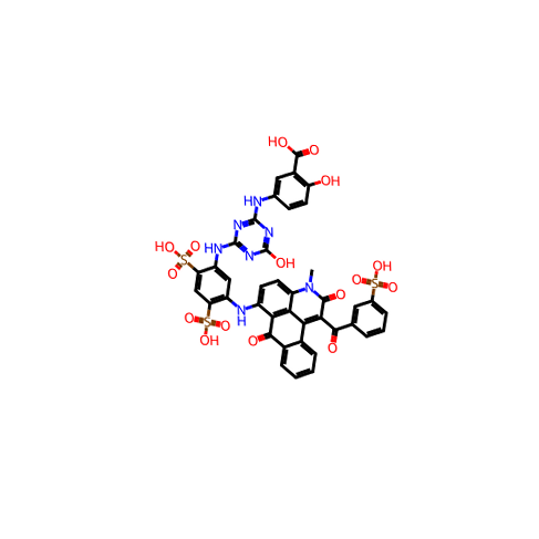 Cn1c(=O)c(C(=O)c2cccc(S(=O)(=O)O)c2)c2c3c(c(Nc4cc(Nc5nc(O)nc(Nc6ccc(O)c(C(=O)O)c6)n5)c(S(=O)(=O)O)cc4S(=O)(=O)O)ccc31)C(=O)c1ccccc1-2